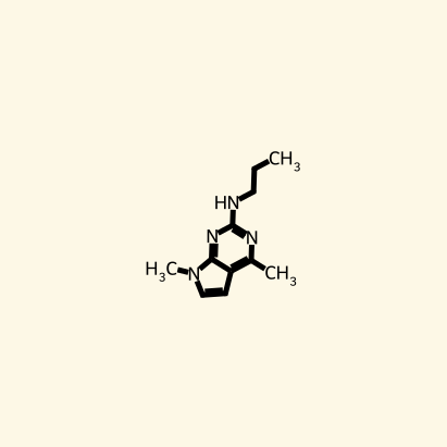 CCCNc1nc(C)c2ccn(C)c2n1